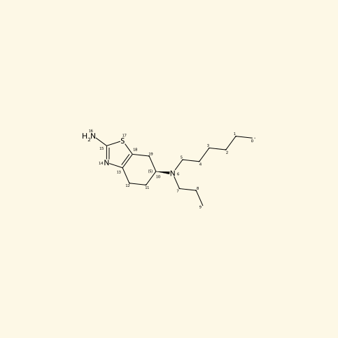 [CH2]CCCCCN(CCC)[C@H]1CCc2nc(N)sc2C1